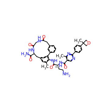 Cc1cc2cc(c1NC(=O)[C@H](CCN)NC(=O)c1cnc(-c3ccc(C4(C)COC4)cc3)nc1C)-c1cccc(c1)CC(=O)NCC(=O)NC(C(N)=O)C2